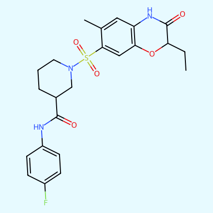 CCC1Oc2cc(S(=O)(=O)N3CCCC(C(=O)Nc4ccc(F)cc4)C3)c(C)cc2NC1=O